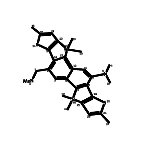 CNCc1cc2c3c(c(N(C)C)cc2c2c1-c1sc(C)cc1[Si]2(C)C)-c1sc(C)cc1[Si]3(C)C